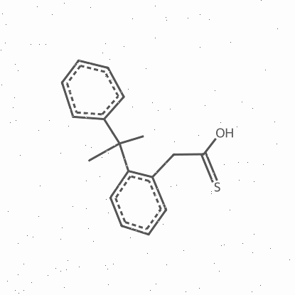 CC(C)(c1ccccc1)c1ccccc1CC(O)=S